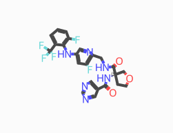 O=C(N[C@@]1(C(=O)NCc2ncc(Nc3c(F)cccc3C(F)(F)F)cc2F)CCOC1)c1cncnc1